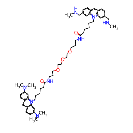 CNCc1ccc2cc3ccc(CNC)cc3[n+](CCCCCC(=O)NCCCOCCOCCOCCCNC(=O)CCCCC[n+]3c4cc(N(C)C)ccc4cc4ccc(N(C)C)cc43)c2c1